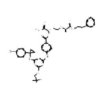 COC(=O)[C@H](CCNC(=O)C(=O)NCCc1ccccc1)NC(=O)c1ccc(Nc2nc(NC3(c4ccc(Cl)cc4)CC3)nc(OCC(F)(F)F)n2)cc1